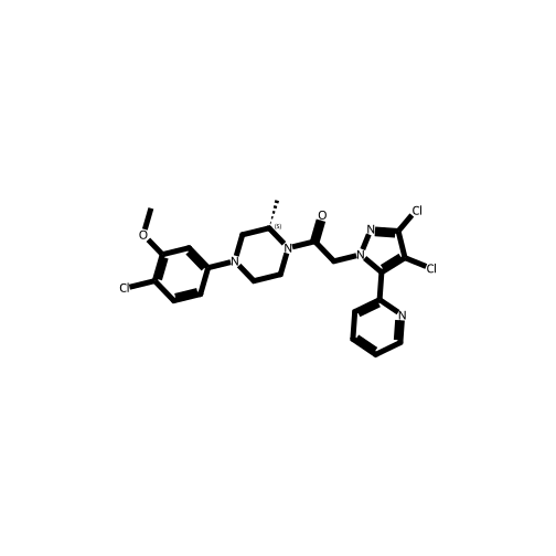 COc1cc(N2CCN(C(=O)Cn3nc(Cl)c(Cl)c3-c3ccccn3)[C@@H](C)C2)ccc1Cl